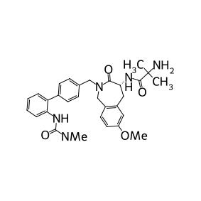 CNC(=O)Nc1ccccc1-c1ccc(CN2Cc3ccc(OC)cc3C[C@@H](NC(=O)C(C)(C)N)C2=O)cc1